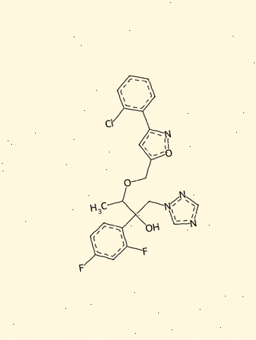 CC(OCc1cc(-c2ccccc2Cl)no1)C(O)(Cn1cncn1)c1ccc(F)cc1F